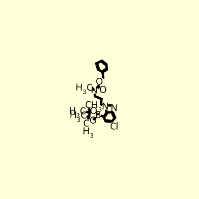 CN(CCCn1cnc2cc(Cl)cc(B3OC(C)(C)C(C)(C)O3)c21)C(=O)OCc1ccccc1